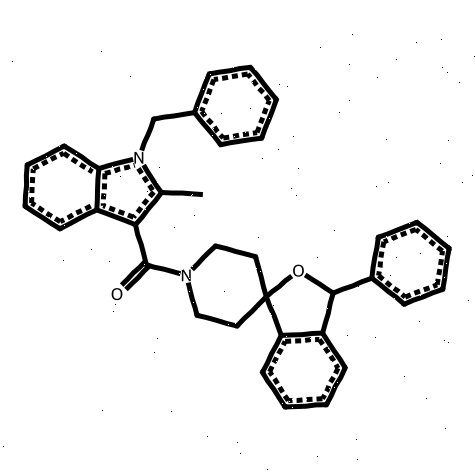 Cc1c(C(=O)N2CCC3(CC2)OC(c2ccccc2)c2ccccc23)c2ccccc2n1Cc1ccccc1